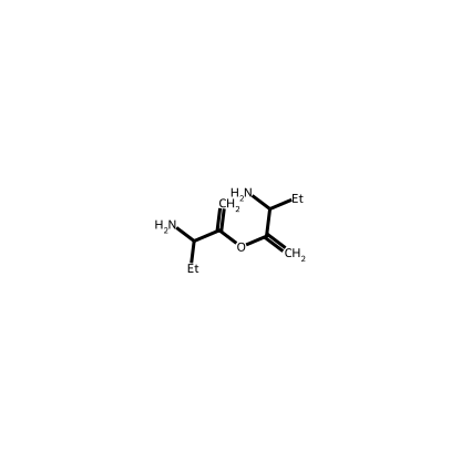 C=C(OC(=C)C(N)CC)C(N)CC